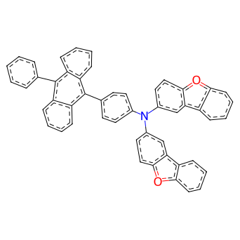 c1ccc(-c2c3ccccc3c(-c3ccc(N(c4ccc5oc6ccccc6c5c4)c4ccc5oc6ccccc6c5c4)cc3)c3ccccc23)cc1